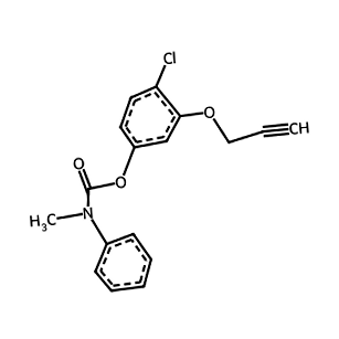 C#CCOc1cc(OC(=O)N(C)c2ccccc2)ccc1Cl